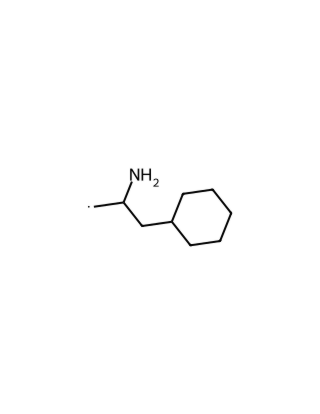 [CH2]C(N)CC1CCCCC1